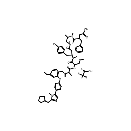 CCc1ccc(CNC(C)C(=O)NC(COC)C(=O)N(C)C(CC(=O)NCC(C)N(C)C(=O)C(CC(=O)O)Cc2ccccc2)Cc2ccc(Cl)cc2)c(Oc2ccc(-c3cnc(CN4CCCC4)n3C)cc2)c1.O=C(O)C(F)(F)F